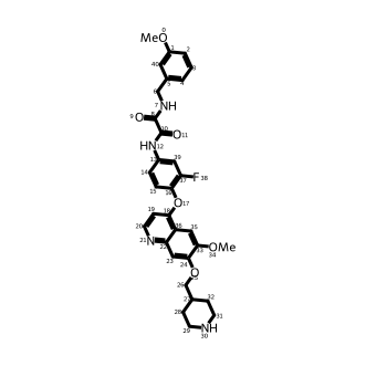 COc1cccc(CNC(=O)C(=O)Nc2ccc(Oc3ccnc4cc(OCC5CCNCC5)c(OC)cc34)c(F)c2)c1